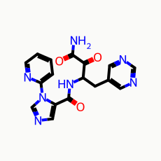 NC(=O)C(=O)C(Cc1cncnc1)NC(=O)c1cncn1-c1ccccn1